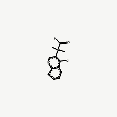 CCC(=O)[N+](C)(C)c1cnc2ccccc2c1Cl